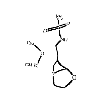 CC(C)(C)OC=O.NS(=O)(=O)NCC1C2OCCN12